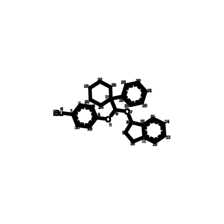 CCC(C)c1ccc(OC(OC2CCc3ccccc32)C2(c3ccccc3)CCCCC2)cc1